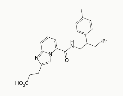 Cc1ccc(C(CNC(=O)c2cccc3nc(CCC(=O)O)cn23)CC(C)C)cc1